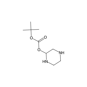 CC(C)(C)OC(=O)OC1CNCCN1